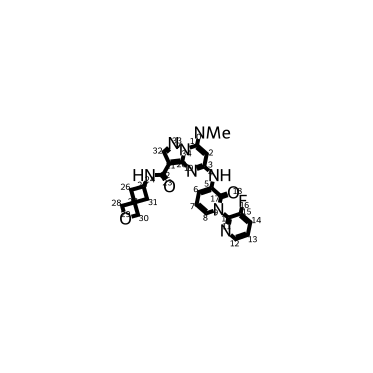 CNc1cc(Nc2cccn(-c3ncccc3F)c2=O)nc2c(C(=O)NC3CC4(COC4)C3)cnn12